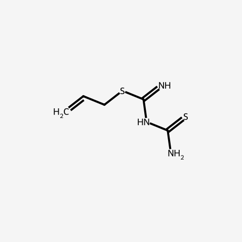 C=CCSC(=N)NC(N)=S